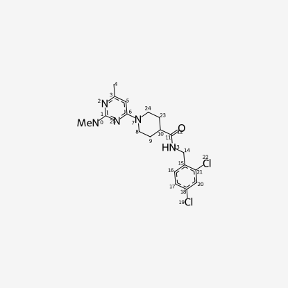 CNc1nc(C)cc(N2CCC(C(=O)NCc3ccc(Cl)cc3Cl)CC2)n1